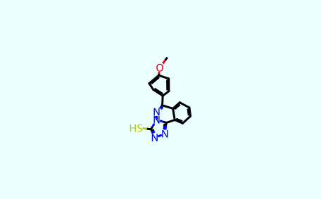 COc1ccc(-c2nn3c(S)nnc3c3ccccc23)cc1